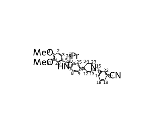 COc1ccc(-c2[nH]c3ccc(C4CCN(Cc5cccc(C#N)c5)CC4)cc3c2C(C)C)cc1OC